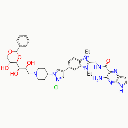 CCn1c(CNC(=O)c2nc3cc[nH]c3nc2N)[n+](CC)c2ccc(-c3cnn(C4CCN(C[C@H](O)[C@@H](O)[C@@H]5OC(c6ccccc6)OC[C@H]5O)CC4)c3)cc21.[Cl-]